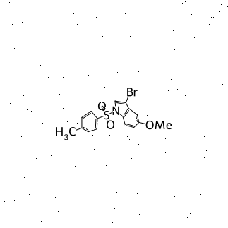 COc1ccc2c(c1)c(Br)cn2S(=O)(=O)c1ccc(C)cc1